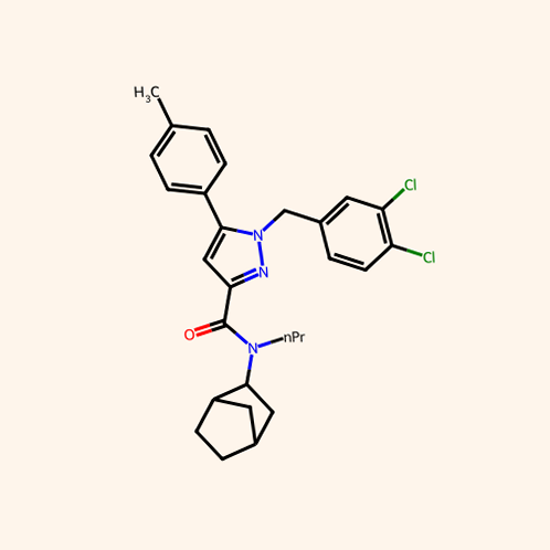 CCCN(C(=O)c1cc(-c2ccc(C)cc2)n(Cc2ccc(Cl)c(Cl)c2)n1)C1CC2CCC1C2